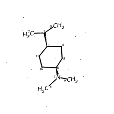 CC(C)[C@H]1CC[C@@H](N(C)C)CC1